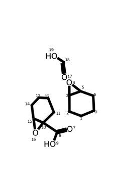 C1CCC2OC2C1.O=C(O)C12CCCCC1O2.O=CO